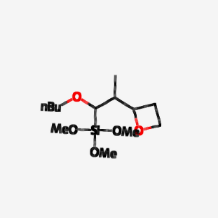 CCCCOC(C(C)C1CCO1)[Si](OC)(OC)OC